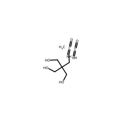 C.CCC(CO)(CO)CO.N=C=O.N=C=O